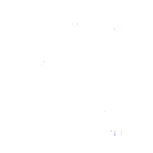 COc1cc(C(C)(C)N)cc2c1OCO2